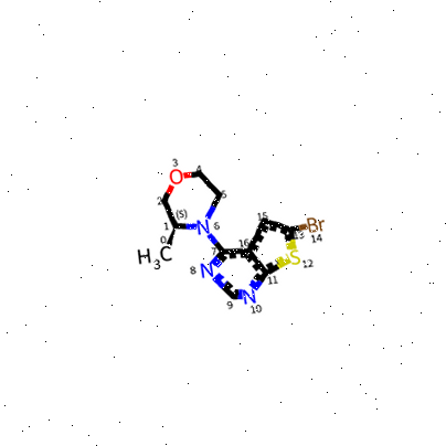 C[C@H]1COCCN1c1ncnc2sc(Br)cc12